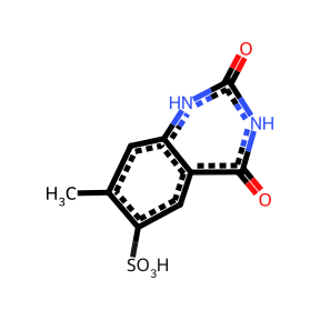 Cc1cc2[nH]c(=O)[nH]c(=O)c2cc1S(=O)(=O)O